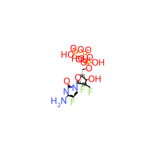 Nc1nc(=O)n([C@@H]2O[C@H](COP(=O)(O)OP(=O)(O)OP(=O)(O)O)C(O)[C@]2(F)CF)cc1F